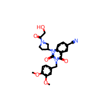 COc1ccc(Cn2c(=O)c3cc(C#N)ccc3n(C3CCN(C(=O)CO)C3)c2=O)cc1OC